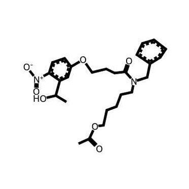 CC(=O)OCCCCCN(Cc1ccccc1)C(=O)CCCOc1ccc([N+](=O)[O-])c(C(C)O)c1